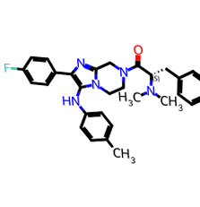 Cc1ccc(Nc2c(-c3ccc(F)cc3)nc3n2CCN(C(=O)[C@H](Cc2ccccc2)N(C)C)C3)cc1